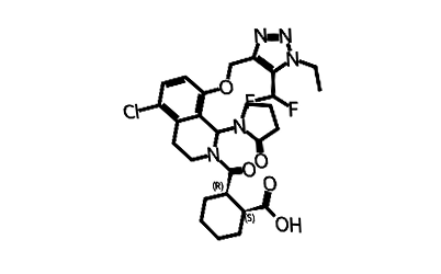 CCn1nnc(COc2ccc(Cl)c3c2C(N2CCCC2=O)N(C(=O)[C@@H]2CCCC[C@@H]2C(=O)O)CC3)c1C(F)F